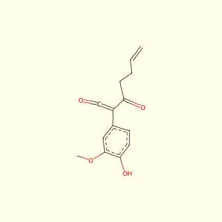 C=CCCC(=O)C(=C=O)c1ccc(O)c(OC)c1